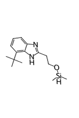 C[SiH](C)OCCc1nc2cccc(C(C)(C)C)c2[nH]1